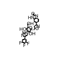 Cn1c(=O)[nH]c2cc(C3=NOC(C[C@H]4O[C@H](CO)[C@H](O)[C@H](n5cc(-c6cc(F)c(F)c(F)c6)nn5)[C@H]4O)C3)ccc21